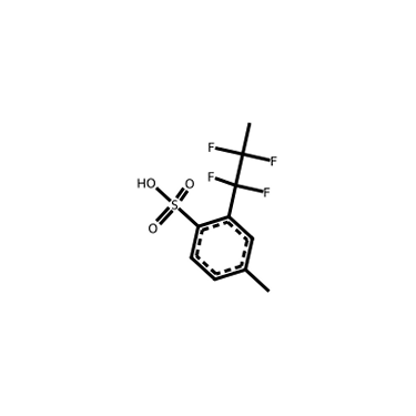 Cc1ccc(S(=O)(=O)O)c(C(F)(F)C(C)(F)F)c1